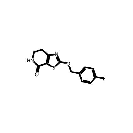 O=C1NCCc2nc(OCc3ccc(F)cc3)sc21